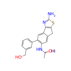 CC(=O)Nc1cc2c(cc1-c1cccc(CO)c1)-c1nc(N)sc1C2.I